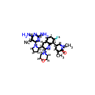 Cc1cc(-c2c(F)ccc3cc(C4CCCN4c4nc(N)nc(N)c4C#N)c(N4CCOCC4)nc23)cn(C)c1=O